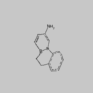 NC1=CN2B(C=C1)CCc1ccccc12